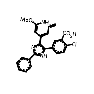 C=C/C=C(\C=C(/N)OC)c1nc(-c2ccccc2)[nH]c1-c1ccc(Cl)c(C(=O)O)c1